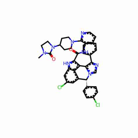 CN1CCN(C2CCN(c3ncccc3NC(=O)c3[nH]c4cc(Cl)cc5c4c3-c3c(-c4ccccc4)ncn3[C@@H]5c3ccc(Cl)cc3)CC2)C1=O